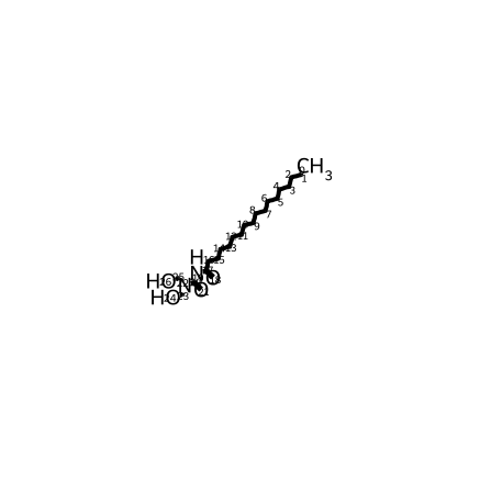 CCCCCCCCCCCCCCCCCC(=O)NC(=O)N(CO)CO